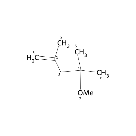 C=C(C)CC(C)(C)OC